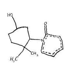 CC1(C)CCC(O)CC1n1ccccc1=O